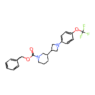 O=C(OCc1ccccc1)N1CCCC(C2CN(c3ccc(OC(F)(F)F)cc3)C2)C1